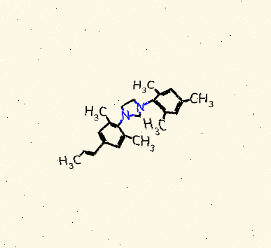 C/C=C/c1cc(C)c(N2CCN(c3c(C)cc(C)cc3C)C2)c(C)c1